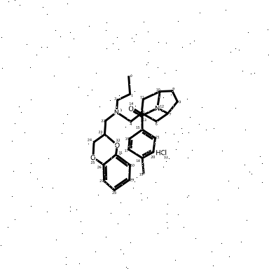 CCCN(CC1CC2CCC(C1)N2C(=O)c1ccc(C)cc1)CC1COc2ccccc2O1.Cl